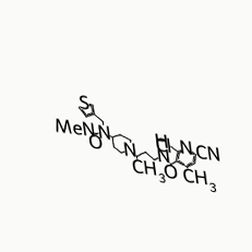 CNC(=O)N(Cc1ccsc1)C1CCN(C(C)CCNC(=O)c2c(C)cc(C#N)nc2Cl)CC1